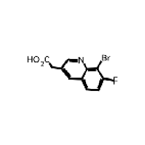 O=C(O)Cc1cnc2c(Br)c(F)ccc2c1